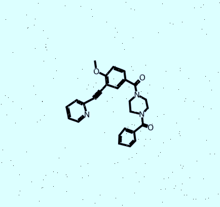 COc1ccc(C(=O)N2CCN(C(=O)c3ccccc3)CC2)cc1C#Cc1ccccn1